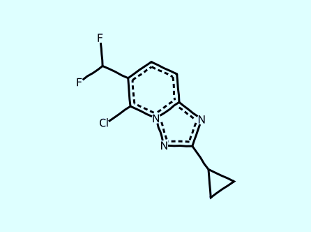 FC(F)c1ccc2nc(C3CC3)nn2c1Cl